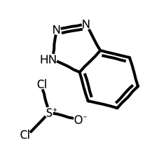 [O-][S+](Cl)Cl.c1ccc2[nH]nnc2c1